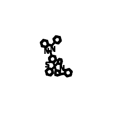 c1ccc(-c2nc(-c3ccc4c(c3)Sc3ccccc3C43c4ccccc4-n4c5ccccc5c5cccc3c54)nc3ccccc23)cc1